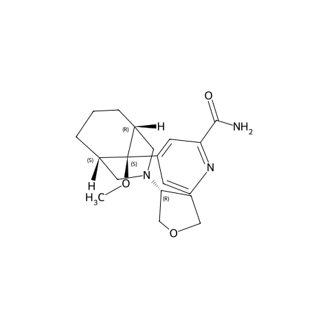 CO[C@]1(c2ccnc(C(N)=O)c2)[C@@H]2CCC[C@H]1CN([C@@H]1CCOC1)C2